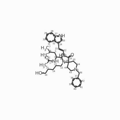 CC(=O)NC(CC(C)C)C(=O)N(CCCCCO)C1(C(=O)NC=Cc2c[nH]c3ccccc23)CCN(Cc2ccccc2)CC1